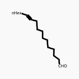 CCCCCCC#CCCCCCCCCCC=O